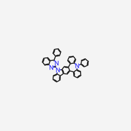 c1ccc(-c2nc(-n3c4ccccc4c4cc5c(cc43)-c3ccccc3N(c3ccccc3)c3ccccc3-5)nc3ccccc23)cc1